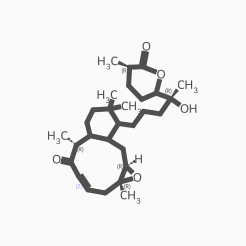 C[C@@H]1CCC([C@](C)(O)CCCC2C3C[C@H]4O[C@]4(C)C/C=C\C(=O)[C@H](C)C3CCC2(C)C)OC1=O